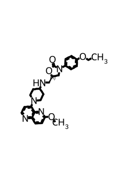 CCOc1ccc(N2C[C@@H](CNC3CCN(c4ccnc5ccc(OC)nc45)CC3)OC2=O)cc1